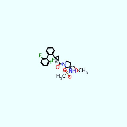 COC[C@]1(NS(C)(=O)=O)CCN(C(=O)[C@@H]2C[C@@]2(F)c2ccccc2-c2c(F)cccc2F)C1